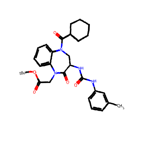 Cc1cccc(NC(=O)NC2CN(C(=O)C3CCCCC3)c3ccccc3N(CC(=O)OC(C)(C)C)C2=O)c1